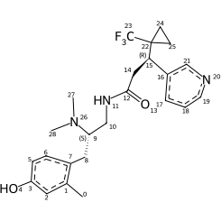 Cc1cc(O)ccc1C[C@@H](CNC(=O)C[C@H](c1cccnc1)C1(C(F)(F)F)CC1)N(C)C